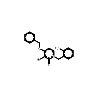 O=c1c(Br)c(OCc2ccccc2)ccn1Cc1ccccc1C(F)(F)F